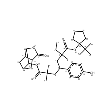 CCC(C)(CC(CC(C)(C)C(=O)OC1C2CC3C(=O)OC1C3C2)c1ccc(O)cc1)C(=O)OC1(C(C)(C)C)CCCC1